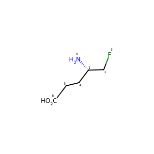 N[C@H](CF)CCC(=O)O